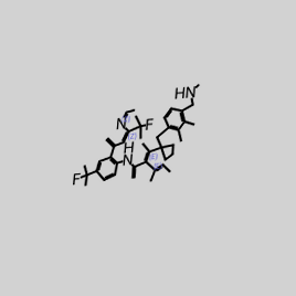 C=C(Nc1ccc(C(C)(C)F)cc1C(=C)/C=C(\N=C/C)C(C)(C)F)C(/C(C)=C/C)=C(\C)C1(Cc2ccc(CNC)c(C)c2C)CCC1